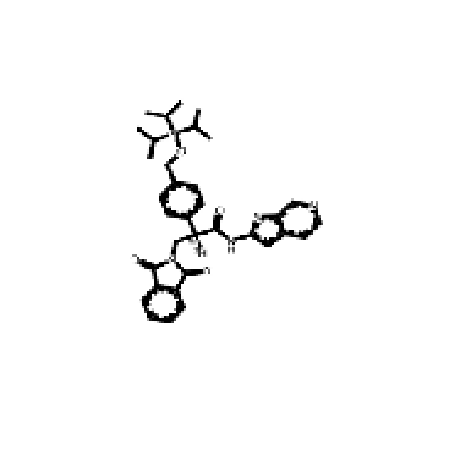 [2H][C@](CN1C(=O)c2ccccc2C1=O)(C(=O)Nc1cc2ccncc2s1)c1ccc(CO[Si](C(C)C)(C(C)C)C(C)C)cc1